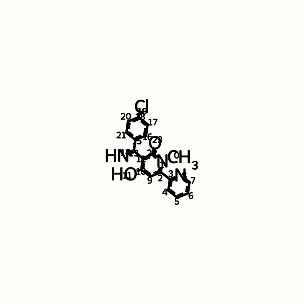 Cn1c(-c2ccccn2)cc(O)c(C(=N)c2ccc(Cl)cc2)c1=O